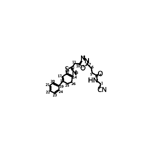 N#CCNC(=O)CCc1nnc(Cc2nc3c(s2)C=C(c2ccccc2)CC3)o1